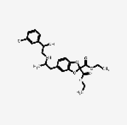 CCOC(=O)C1(C(=O)OCC)Oc2ccc(CC(C)NCC(O)c3cccc(Cl)c3)cc2O1